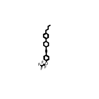 CCCCc1ccc(C2CCC(C#Cc3ccc(OC(F)(F)C(F)F)cc3)CC2)cc1